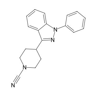 N#CN1CCC(c2nn(-c3ccccc3)c3ccccc23)CC1